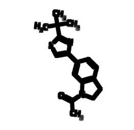 CC(=O)N1CCc2ccc(-c3csc(C(C)(C)C)n3)cc21